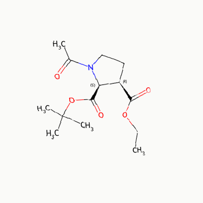 CCOC(=O)[C@@H]1CCN(C(C)=O)[C@@H]1C(=O)OC(C)(C)C